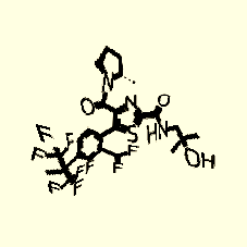 C[C@H]1CCCN1C(=O)c1nc(C(=O)NCC(C)(C)O)sc1-c1ccc(C(C)(C(F)(F)F)C(F)(F)F)c(F)c1C(F)F